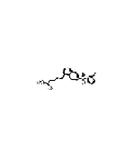 O=C(O)CCCCc1cccc2cc(S(=O)(=O)c3cccc(F)c3)ccc12